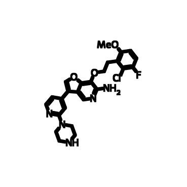 COc1ccc(F)c(Cl)c1CCOc1c(N)ncc2c(-c3ccnc(N4CCNCC4)c3)coc12